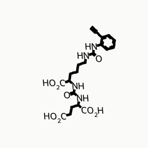 C#Cc1ccccc1NC(=O)NCCCCC(NC(=O)NC(CCC(=O)O)C(=O)O)C(=O)O